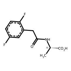 C[C@H](NC(=O)Cc1cc(F)ccc1F)C(=O)O